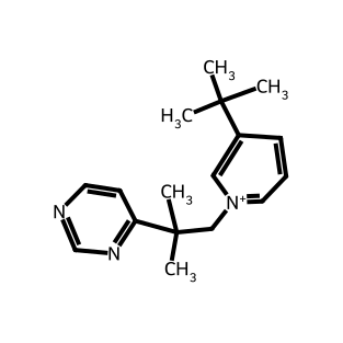 CC(C)(C)c1ccc[n+](CC(C)(C)c2ccncn2)c1